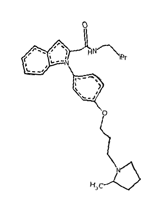 CC(C)CNC(=O)c1cc2ccccc2n1-c1ccc(OCCCN2CCCC2C)cc1